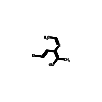 C\C=N/C(/C=C/CC)=C(\C)C(C)(C)C